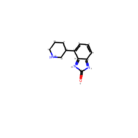 O=C1N=c2cccc(C3CCCNC3)c2=N1